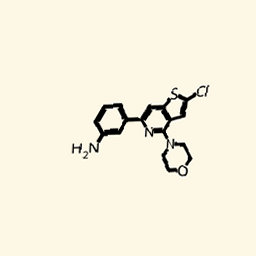 Nc1cccc(-c2cc3sc(Cl)cc3c(N3CCOCC3)n2)c1